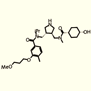 COCCCOc1cc(C(=O)N(C[C@@H]2CNC[C@H]2CN(C)C(=O)[C@H]2CC[C@@H](O)CC2)C(C)C)ccc1C